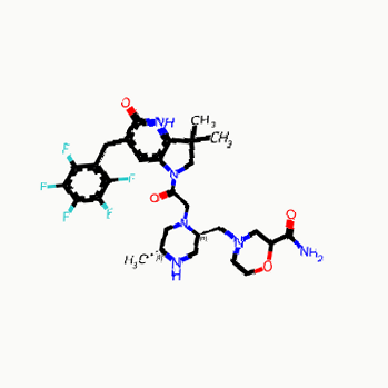 C[C@@H]1CN(CC(=O)N2CC(C)(C)c3[nH]c(=O)c(Cc4c(F)c(F)c(F)c(F)c4F)cc32)[C@@H](CN2CCOC(C(N)=O)C2)CN1